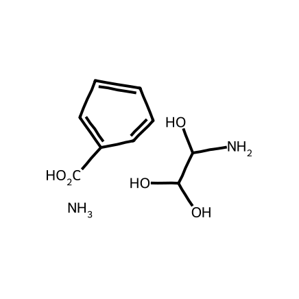 N.NC(O)C(O)O.O=C(O)c1ccccc1